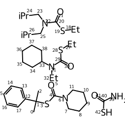 CC(C)(SC(=O)N1CCCCC1)c1ccccc1.CCSC(=O)N(CC(C)C)CC(C)C.CCSC(=O)N(CC)C1CCCCC1.NC(=O)S